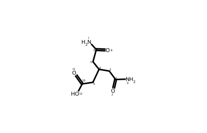 NC(=O)CC(CC(N)=O)CC(=O)O